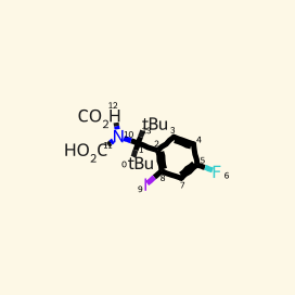 CC(C)(C)C(c1ccc(F)cc1I)(N(C(=O)O)C(=O)O)C(C)(C)C